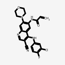 C=CC(=O)Nc1cc2c(Nc3ccc(F)c(Cl)c3)c(C#N)cnc2cc1N1CCOCC1